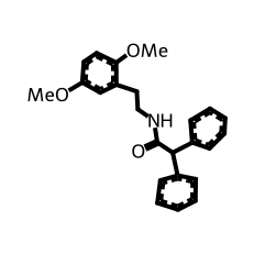 COc1ccc(OC)c(CCNC(=O)C(c2ccccc2)c2ccccc2)c1